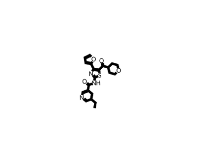 CCC1C=NC=C(C(=O)Nc2nc(-c3ccco3)c(C(=O)C3CCOCC3)s2)C1